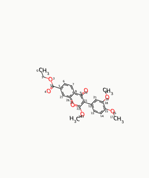 CCOC(=O)c1ccc2c(=O)c(-c3ccc(OC)c(OC)c3)c(OC)oc2c1